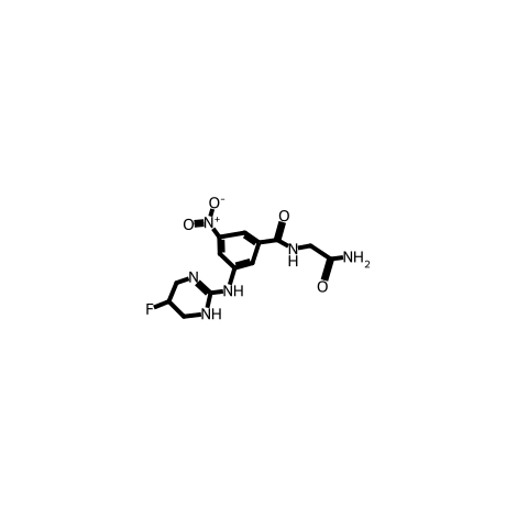 NC(=O)CNC(=O)c1cc(NC2=NCC(F)CN2)cc([N+](=O)[O-])c1